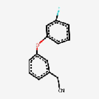 N#CCc1cccc(Oc2cccc(F)c2)c1